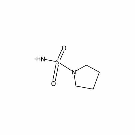 [NH]S(=O)(=O)N1CCCC1